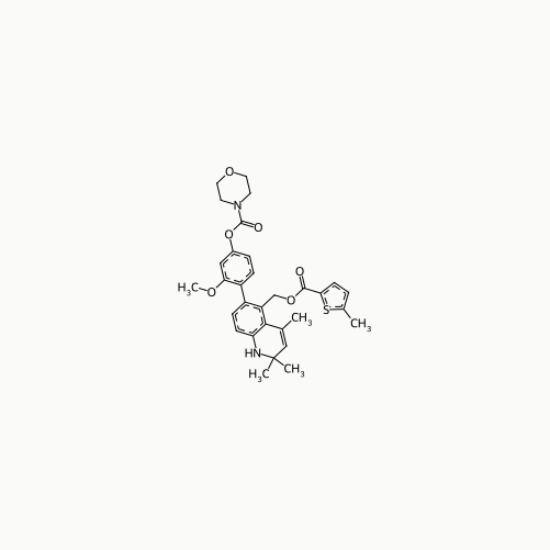 COc1cc(OC(=O)N2CCOCC2)ccc1-c1ccc2c(c1COC(=O)c1ccc(C)s1)C(C)=CC(C)(C)N2